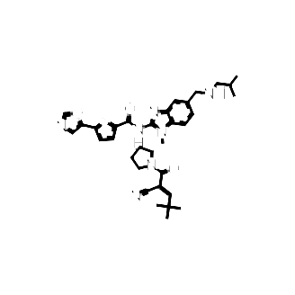 CC(C)CNCc1ccc2c(c1)nc(NC(=O)c1ccc(-c3cnco3)s1)n2C[C@H]1CCCN1C(=O)C(C#N)=CC(C)(C)C